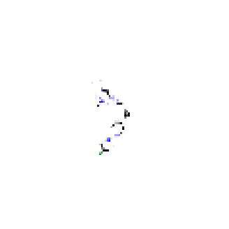 Cc1nc(C#N)cc(NCC[C@@H]2C[C@@H]2C2CCN(c3ncc(Cl)cn3)CC2)n1